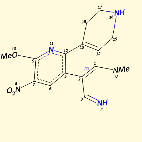 CN/C=C(\C=N)c1cc([N+](=O)[O-])c(OC)nc1C1=CCNCC1